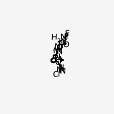 Cn1c(-c2cc3cccc(OCCn4cnc(Cl)n4)c3n2CC2CC2)nc2cc3c(nc21)CCN(C[C@H](N)CF)C3=O